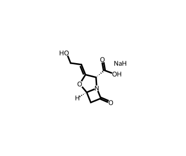 O=C(O)[C@H]1C(=CCO)O[C@@H]2CC(=O)N12.[NaH]